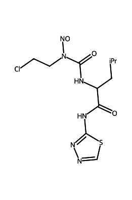 CC(C)CC(NC(=O)N(CCCl)N=O)C(=O)Nc1nncs1